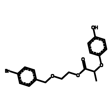 CC(Oc1ccc(O)cc1)C(=O)OCCOCc1ccc(Br)cc1